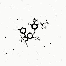 CC(C)Oc1cc(CN2CC[C@@]3(C[C@@H]2C)CN(C)S(=O)(=O)N3c2cccc(F)c2)cc(F)c1O